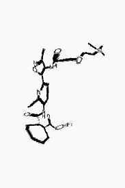 Cc1nc(-c2onc(C)c2NC(=O)OCC[Si](C)(C)C)ccc1NC(=O)[C@H]1CCCC[C@@H]1C(=O)O